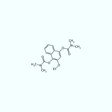 CCOc1cc(OC(=O)N(C)C)c2ccccc2c1OC(=O)N(C)C